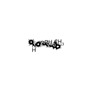 COc1ccccc1C=CCNCC(O)COc1ccc(Nc2ccccc2)cc1